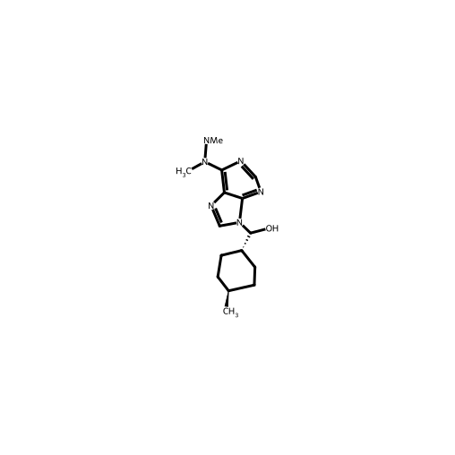 CNN(C)c1ncnc2c1ncn2C(O)[C@H]1CC[C@H](C)CC1